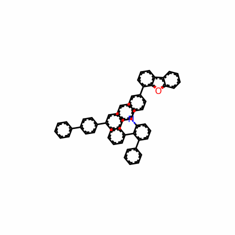 c1ccc(-c2ccc(-c3ccc(N(c4ccc(-c5cccc6c5oc5ccccc56)cc4)c4cccc(-c5ccccc5)c4-c4ccccc4-c4ccccc4)cc3)cc2)cc1